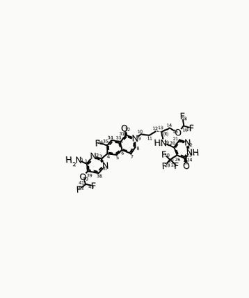 Nc1nc(-c2cc3ccn(CCC[C@H](COC(F)F)Nc4cn[nH]c(=O)c4C(F)(F)F)c(=O)c3cc2F)ncc1OC(F)F